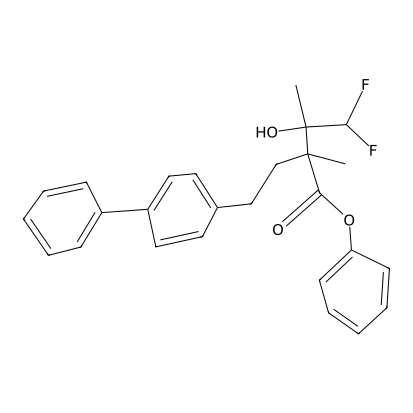 CC(CCc1ccc(-c2ccccc2)cc1)(C(=O)Oc1ccccc1)C(C)(O)C(F)F